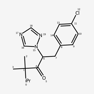 CC(C)C(C)(C)C(=O)C(Cc1ccc(Cl)cc1)n1cncn1